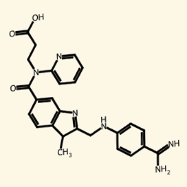 CC1C(CNc2ccc(C(=N)N)cc2)=Nc2cc(C(=O)N(CCC(=O)O)c3ccccn3)ccc21